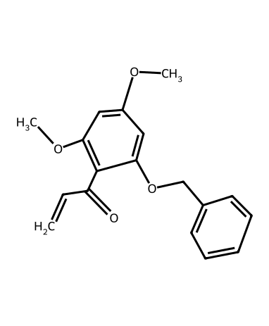 C=CC(=O)c1c(OC)cc(OC)cc1OCc1ccccc1